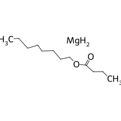 CCCCCCCCOC(=O)CCC.[MgH2]